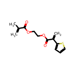 C=C(C)C(=O)OCCOC(=O)C(=C)c1cccs1